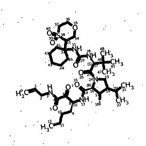 C=CCNC(=O)C(=O)[C@H](CCCC)NC(=O)[C@@H]1C(I)C(C(C)C)CN1C(=O)[C@@H](NC(=O)NC1(C2COCCS2(=O)=O)CCCCC1)C(C)(C)C